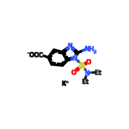 CCN(CC)S(=O)(=O)n1c(N)nc2cc(C(=O)[O-])ccc21.[K+]